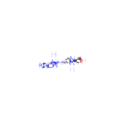 CN1CCN(c2ccc3nc(/C=C/C=C/c4ccc5nc(-c6ccc(O)c(I)c6)[nH]c5c4)[nH]c3c2)CC1